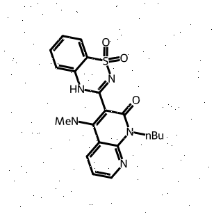 CCCCn1c(=O)c(C2=NS(=O)(=O)c3ccccc3N2)c(NC)c2cccnc21